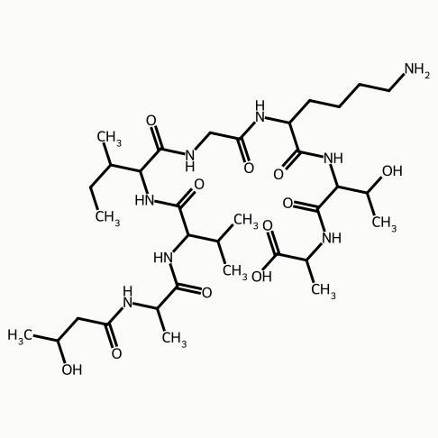 CCC(C)C(NC(=O)C(NC(=O)C(C)NC(=O)CC(C)O)C(C)C)C(=O)NCC(=O)NC(CCCCN)C(=O)NC(C(=O)NC(C)C(=O)O)C(C)O